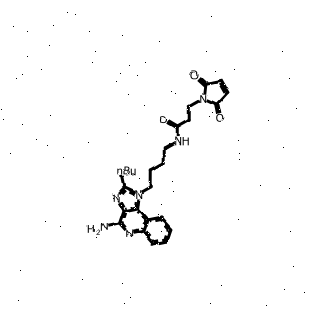 CCCCc1nc2c(N)nc3ccccc3c2n1CCCCNC(=O)CCN1C(=O)C=CC1=O